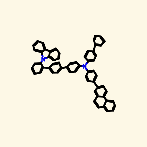 c1ccc(-c2ccc(N(c3ccc(-c4ccc(-c5ccccc5-n5c6ccccc6c6ccccc65)cc4)cc3)c3ccc(-c4ccc5c(ccc6ccccc65)c4)cc3)cc2)cc1